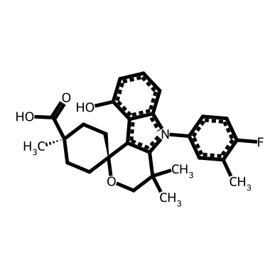 Cc1cc(-n2c3c(c4c(O)cccc42)[C@]2(CC[C@](C)(C(=O)O)CC2)OCC3(C)C)ccc1F